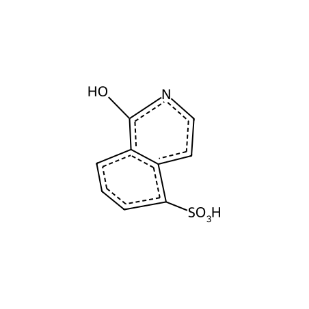 O=S(=O)(O)c1cccc2c(O)nccc12